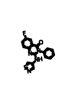 O=c1c2cc(F)ccc2nc(Nc2cnsc2)n1-c1ccccc1